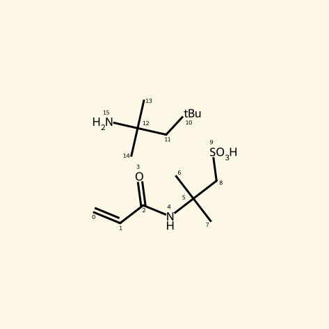 C=CC(=O)NC(C)(C)CS(=O)(=O)O.CC(C)(C)CC(C)(C)N